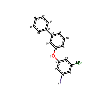 Brc1cc(I)cc(Oc2cccc(-c3ccccc3)c2)c1